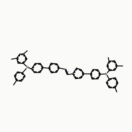 Cc1ccc(N(c2ccc(-c3ccc(/C=C/c4ccc(-c5ccc(N(c6ccc(C)cc6)c6cc(C)cc(C)c6)cc5)cc4)cc3)cc2)c2cc(C)cc(C)c2)cc1